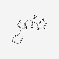 O=S(=O)(Cc1nc(-c2ccccc2)cs1)c1ncns1